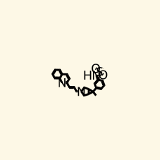 CC1(c2cccc(NS(C)(=O)=O)c2)C2CN(C/C=C/c3ccc4ccccc4n3)CC21